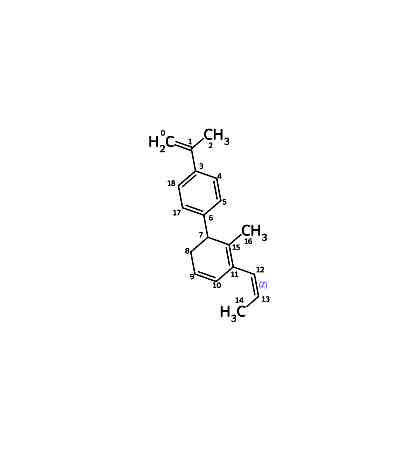 C=C(C)c1ccc(C2CC=CC(/C=C\C)=C2C)cc1